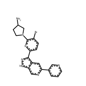 NC1CCN(c2nc(-c3n[nH]c4cnc(-c5cccnc5)cc34)ccc2Br)C1